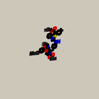 CCCCOC(=O)c1c(-c2ccccc2N2CC(Nc3ccc(C[C@H]4[C@@H](CN(CC(C)C)S(=O)(=O)c5ccc(OC)cc5)OC(C)(C)N4C(=O)OC(C)(C)C)cc3)C2)sc2c1CC(C)(C)CC2